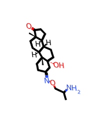 CC(N)CO/N=C1/CC[C@]2(C)[C@H]3CC[C@]4(C)C(=O)CC[C@H]4[C@@H]3CC[C@@]2(O)C1